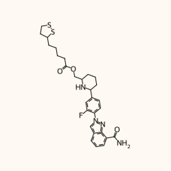 NC(=O)c1cccc2cn(-c3ccc(C4CCCC(COC(=O)CCCCC5CCSS5)N4)cc3F)nc12